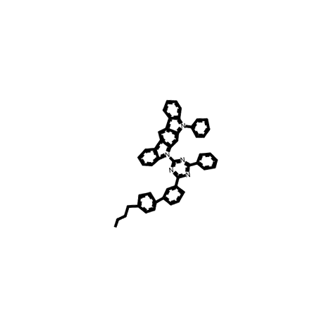 CCCCc1ccc(-c2cccc(-c3nc(-c4ccccc4)nc(-n4c5ccccc5c5cc6c7ccccc7n(-c7ccccc7)c6cc54)n3)c2)cc1